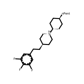 CCCCC[C@H]1CC[C@H]([Si@H]2CC[C@H](CCc3cc(F)c(F)c(F)c3)CC2)CC1